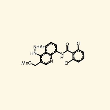 COCc1cnc2c(NC(=O)c3c(Cl)cccc3Cl)cccc2c1NNC(C)=O